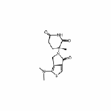 CN(C)c1scc2c1CN([C@]1(C)CCC(=O)NC1=O)C2=O